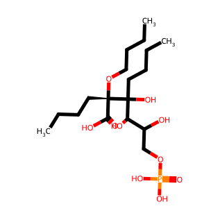 CCCCO[C@@](CCCC)(C(=O)O)C(O)(CCCC)C(O)C(O)COP(=O)(O)O